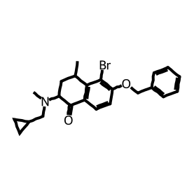 CC1CC(N(C)CC2CC2)C(=O)c2ccc(OCc3ccccc3)c(Br)c21